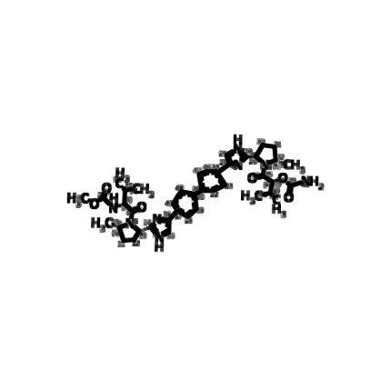 COC(=O)N[C@@H](C(=O)N1[C@@H](C)CC[C@H]1c1nc(-c2ccc(-c3ccc(-c4c[nH]c([C@@H]5CC[C@H](C)N5C(=O)[C@H](OC(N)=O)C(C)C)n4)cc3)cc2)c[nH]1)C(C)C